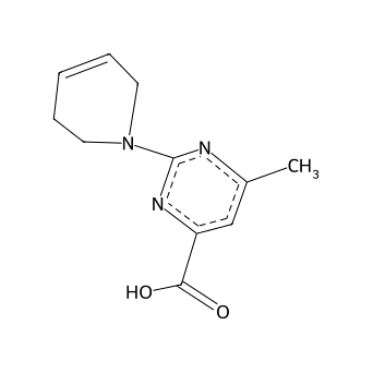 Cc1cc(C(=O)O)nc(N2CC=CCC2)n1